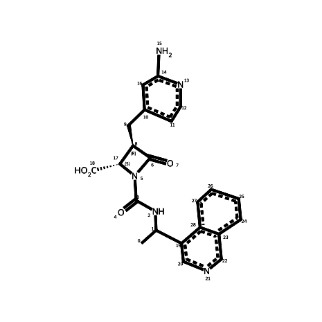 CC(NC(=O)N1C(=O)[C@H](Cc2ccnc(N)c2)[C@H]1C(=O)O)c1cncc2ccccc12